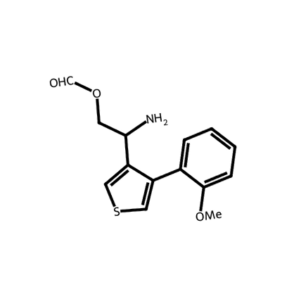 COc1ccccc1-c1cscc1C(N)COC=O